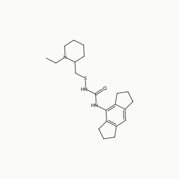 CCN1CCCCC1CSNC(=O)Nc1c2c(cc3c1CCC3)CCC2